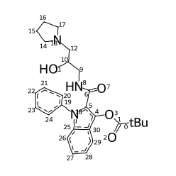 CC(C)(C)C(=O)Oc1c(C(=O)NCC(O)CN2CCCC2)n(-c2ccccc2)c2ccccc12